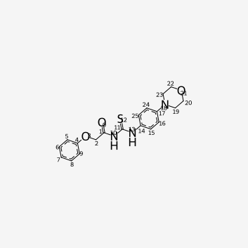 O=C(COc1ccccc1)NC(=S)Nc1ccc(N2CCOCC2)cc1